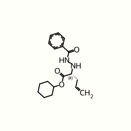 C=CC[C@@H](NNC(=O)c1ccccc1)C(=O)OC1CCCCC1